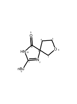 CCCCC1=NC2(CCOC2)C(=O)N1